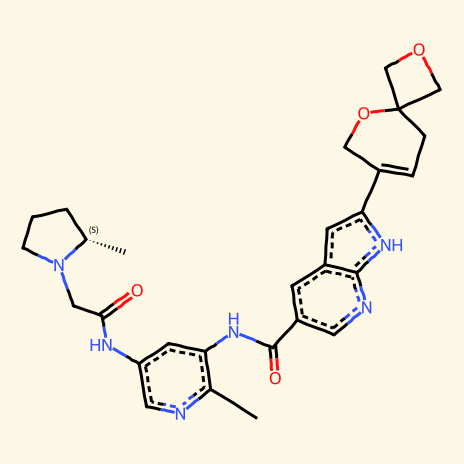 Cc1ncc(NC(=O)CN2CCC[C@@H]2C)cc1NC(=O)c1cnc2[nH]c(C3=CCC4(COC4)OC3)cc2c1